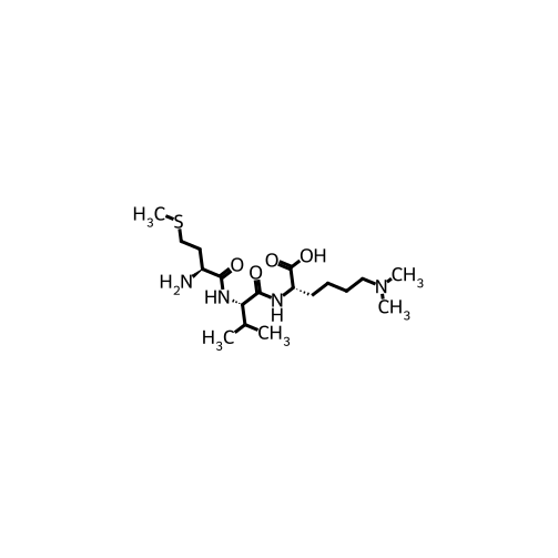 CSCC[C@H](N)C(=O)N[C@H](C(=O)N[C@@H](CCCCN(C)C)C(=O)O)C(C)C